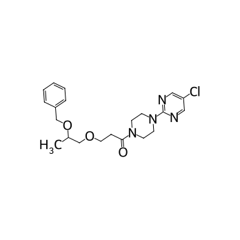 CC(COCCC(=O)N1CCN(c2ncc(Cl)cn2)CC1)OCc1ccccc1